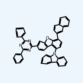 c1ccc(-c2nc(-c3ccccc3)nc(-c3ccc4c(c3)oc3c(-c5ccc6ccccc6c5)ccc(-n5c6ccccc6c6ccccc65)c34)n2)cc1